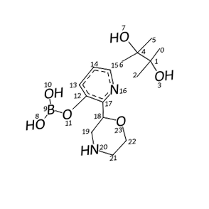 CC(C)(O)C(C)(C)O.OB(O)Oc1cccnc1C1CNCCO1